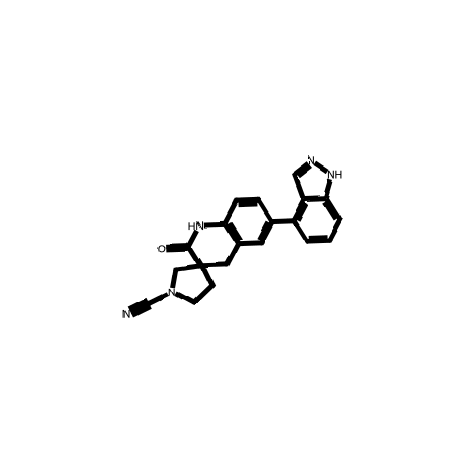 N#CN1CCC2(Cc3cc(-c4cccc5[nH]ncc45)ccc3NC2=O)C1